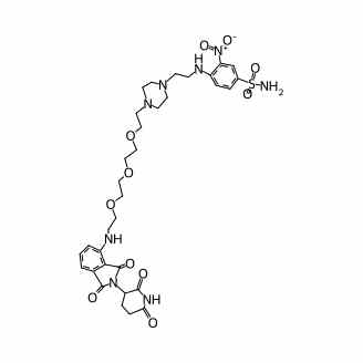 NS(=O)(=O)c1ccc(NCCN2CCN(CCOCCOCCOCCNc3cccc4c3C(=O)N(C3CCC(=O)NC3=O)C4=O)CC2)c([N+](=O)[O-])c1